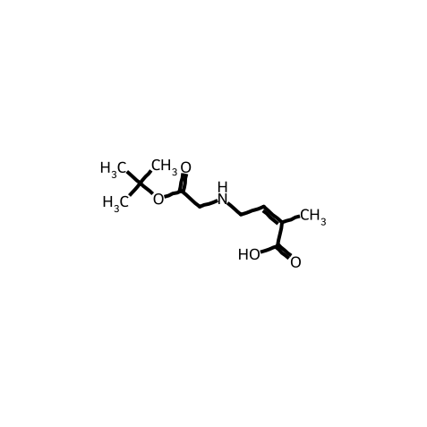 CC(=CCNCC(=O)OC(C)(C)C)C(=O)O